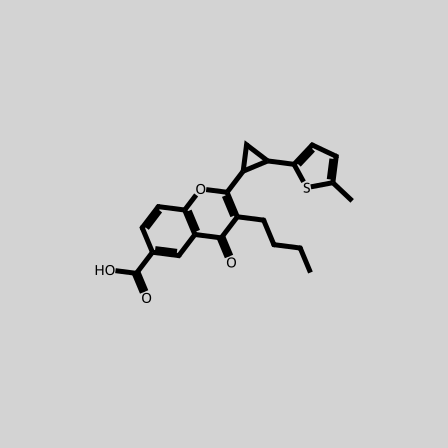 CCCCc1c(C2CC2c2ccc(C)s2)oc2ccc(C(=O)O)cc2c1=O